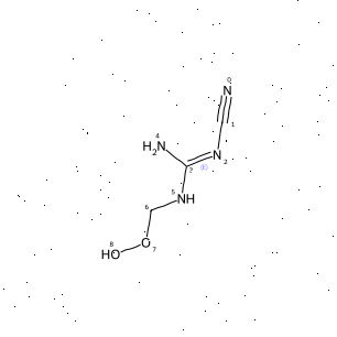 N#C/N=C(\N)NCOO